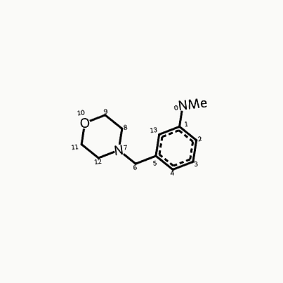 CNc1cccc(CN2CCOCC2)c1